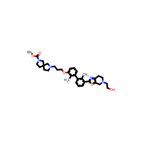 Cc1c(OCCCN2CCC3(CCN(C(=O)OC(C)(C)C)C3)C2)cccc1-c1cccc(-c2nc3c(s2)CN(CCO)CC3)c1C